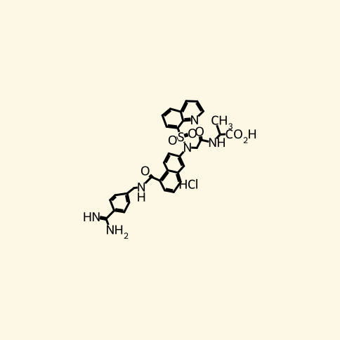 CC(NC(=O)CN(c1ccc2c(C(=O)NCc3ccc(C(=N)N)cc3)cccc2c1)S(=O)(=O)c1cccc2cccnc12)C(=O)O.Cl